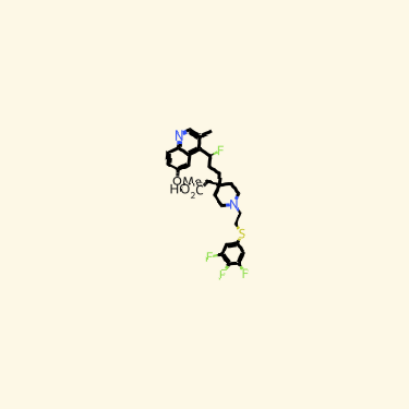 COc1ccc2ncc(C)c([C@@H](F)CCC3(CC(=O)O)CCN(CCSc4cc(F)c(F)c(F)c4)CC3)c2c1